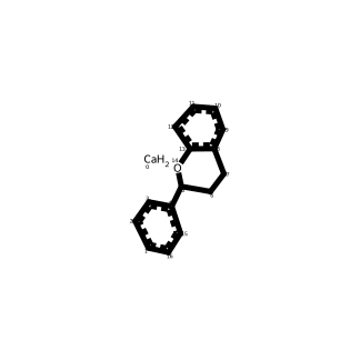 [CaH2].c1ccc(C2CCc3ccccc3O2)cc1